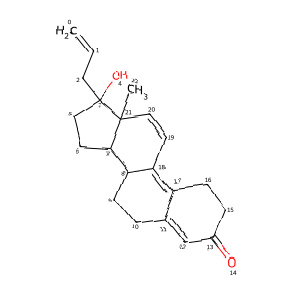 C=CCC1(O)CCC2C3CCC4=CC(=O)CCC4=C3C=CC21C